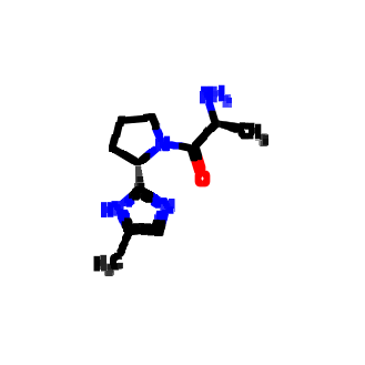 Cc1cnc([C@@H]2CCCN2C(=O)[C@H](C)N)[nH]1